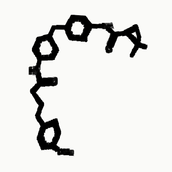 COc1ccc(CCCC(=O)Nc2ccc(Cc3ccc(NC(=O)C4CC4(C)C)cc3)cc2)cc1